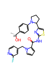 C[C@@H](O)c1ccc(N2CCCC2c2csc(NC(=O)c3cccn3Cc3ccnc(F)c3)n2)cc1